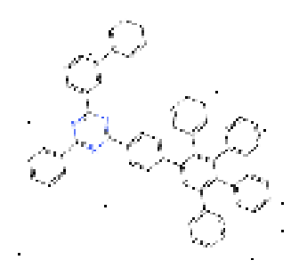 C1=CC(c2cccc(-c3nc(-c4ccccc4)nc(-c4ccc(-c5cc(-c6ccccc6)c(-c6ccccc6)c(-c6ccccc6)c5C5=CCCC=C5)cc4)n3)c2)=CCC1